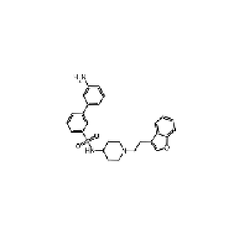 Nc1cccc(-c2cccc(S(=O)(=O)NC3CCN(CCc4coc5ccccc45)CC3)c2)c1